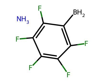 Bc1c(F)c(F)c(F)c(F)c1F.N